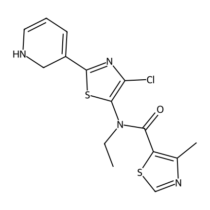 CCN(C(=O)c1scnc1C)c1sc(C2=CC=CNC2)nc1Cl